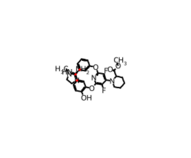 COC(=O)C1CCCCN1c1c(F)c(Oc2cccc(C3=NCCN3C)c2)nc(Oc2cc(C(=N)N)ccc2O)c1F